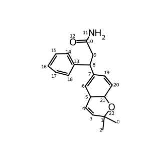 CC1(C)C=CC2C=C(C(CC(N)=O)c3ccccc3)C=CC2O1